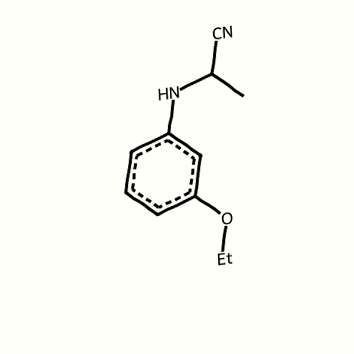 CCOc1cccc(NC(C)C#N)c1